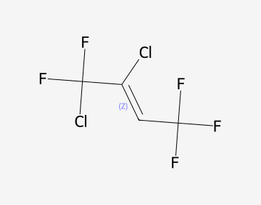 FC(F)(F)/C=C(\Cl)C(F)(F)Cl